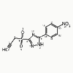 C#CCS(=O)(=O)c1n[nH]c(-c2ccc([N+](=O)[O-])cc2)n1